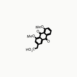 COc1cccc2c1C(=O)c1c(OC)cc(CC(=O)O)cc1C2=O